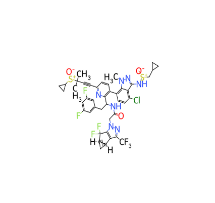 Cn1nc(N[S+]([O-])CC2CC2)c2c(Cl)ccc(-c3ccc(C#CC(C)(C)[S+]([O-])C4CC4)nc3C(Cc3cc(F)cc(F)c3)NC(=O)Cn3nc(C(F)(F)F)c4c3C(F)(F)[C@@H]3C[C@H]43)c21